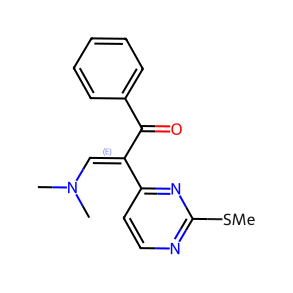 CSc1nccc(/C(=C\N(C)C)C(=O)c2ccccc2)n1